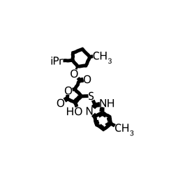 Cc1ccc2nc(SC3=C(O)C(=O)OC3C(=O)O[C@@H]3CC(C)CCC3C(C)C)[nH]c2c1